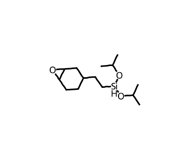 CC(C)O[SiH](CCC1CCC2OC2C1)OC(C)C